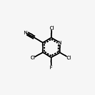 N#Cc1c(Cl)nc(Cl)c(F)c1Cl